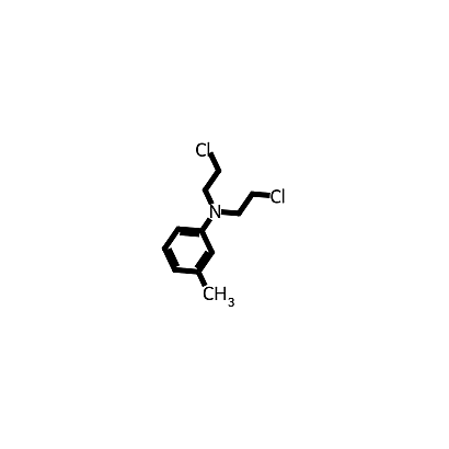 Cc1cccc(N(CCCl)CCCl)c1